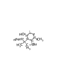 CCCCCC(C)(C)c1c(O)ccc(C)c1C(C)(C)C